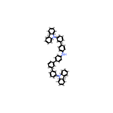 c1cc(-c2ccc(Nc3ccc(-c4cccc(-n5c6ccccc6c6ccccc65)c4)cc3)cc2)cc(-c2cccc(-n3c4ccccc4c4ccccc43)c2)c1